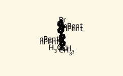 CCCCCC1(CCCCC)c2cc(Br)ccc2-c2ccc(-c3ccc4c(c3)C(CCCCC)(CCCCC)c3cc([Si](C)(C)C)ccc3-4)cc21